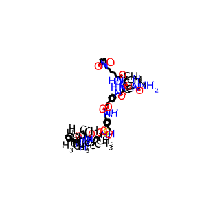 CN[C@H](C(=O)NC(C(=O)N(C)[C@H](/C=C(\C)C(=O)NS(=O)(=O)Cc1ccc(CNC(=O)OCc2ccc(NC(=O)[C@@H](CCCNC(N)=O)NC(=O)C(NC(=O)CCCCCN3C(=O)C=CC3=O)C(C)C)cc2)cc1)C(C)C)C(C)(C)C)C(C)(C)c1ccccc1